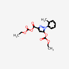 CCOC(=O)OC(=O)c1cc(OC(=O)OCC)n(-c2ccccc2C)n1